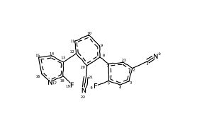 N#Cc1ccc(F)c(-c2cccc(-c3cccnc3F)c2C#N)c1